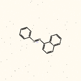 c1ccc(/N=N/c2cccc3ccccc23)cc1